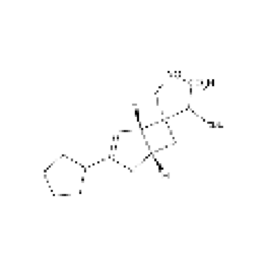 CC(C)(C)C(C(=O)O)[C@@]1(C[N+](=O)[O-])C[C@@H]2CC(C3CCCC3)=C[C@@H]21